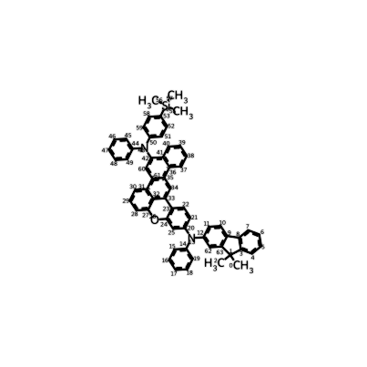 CC1(C)c2ccccc2-c2ccc(N(c3ccccc3)c3ccc4c(c3)Oc3cccc5c3c-4cc3c4ccccc4c(N(c4ccccc4)c4ccc([Si](C)(C)C)cc4)cc53)cc21